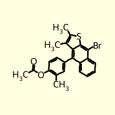 CC(=O)Oc1ccc(-c2c3ccccc3c(Br)c3sc(C)c(C)c23)cc1C